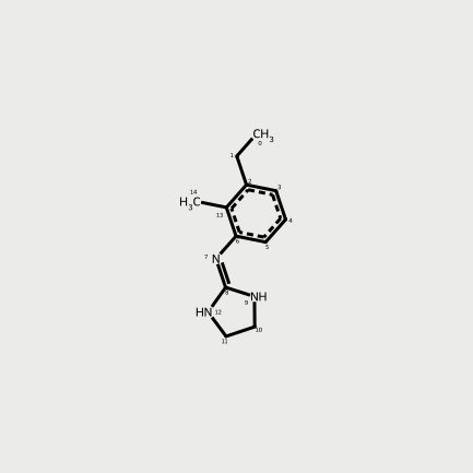 CCc1cccc(N=C2NCCN2)c1C